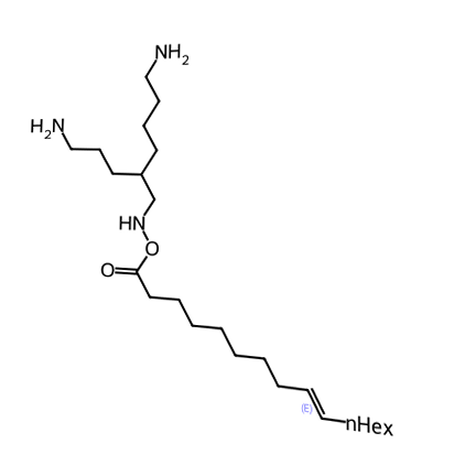 CCCCCC/C=C/CCCCCCCC(=O)ONCC(CCCN)CCCCN